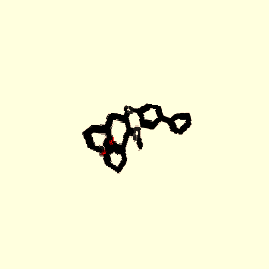 COC(/C(=C\c1cccnc1)Oc1ccc(-c2ccccc2)cc1)c1ccccc1